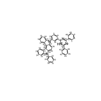 c1ccc(C2=NC(c3cccc(-n4c5ccccc5c5c6c7ccccc7n(-c7ccccc7)c6ccc54)c3)NC(c3ccccc3)=N2)cc1